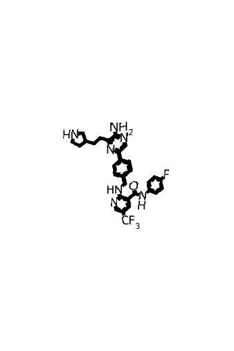 Nc1ncc(-c2ccc(CNc3ncc(C(F)(F)F)cc3C(=O)Nc3ccc(F)cc3)cc2)nc1CCC1CCNC1